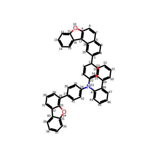 C1=CC(c2ccc3ccc4oc5ccccc5c4c3c2)CC=C1N(c1ccc(-c2cccc3c2oc2ccccc23)cc1)c1ccccc1-c1ccccc1